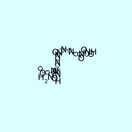 NC(=O)c1c(-c2ccc(Oc3ccccc3)cc2)nn2c1NCC[C@H]2C1CCN(C2CCN(C(=O)N3CCN(CC4CCN(c5ccc6c(c5)CN(C5CCC(=O)NC5=O)C6=O)CC4)CC3)CC2)CC1